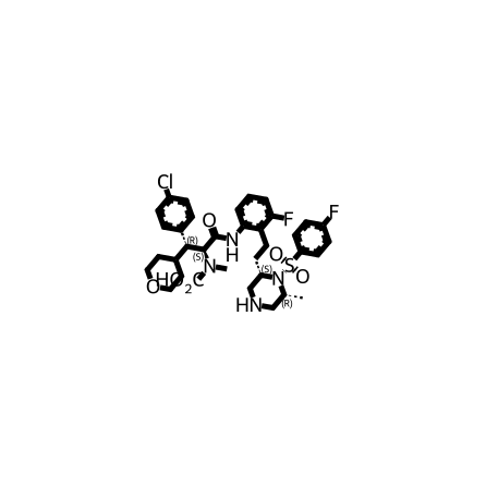 C[C@@H]1CNC[C@H](CCc2c(F)cccc2NC(=O)[C@H]([C@@H](c2ccc(Cl)cc2)C2CCOCC2)N(C)C(=O)O)N1S(=O)(=O)c1ccc(F)cc1